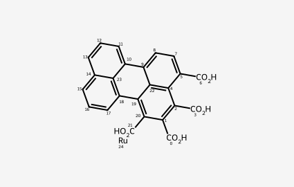 O=C(O)c1c(C(=O)O)c2c(C(=O)O)ccc3c4cccc5cccc(c(c1C(=O)O)c23)c54.[Ru]